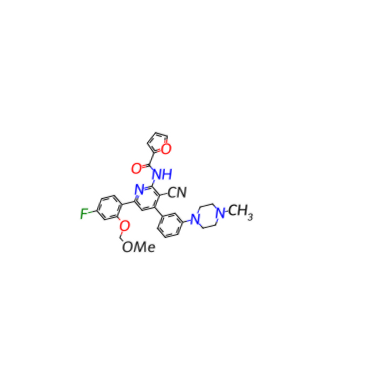 COCOc1cc(F)ccc1-c1cc(-c2cccc(N3CCN(C)CC3)c2)c(C#N)c(NC(=O)c2ccco2)n1